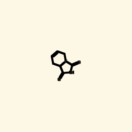 O=C1NC(=O)N2CC=CCC12